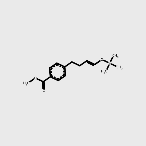 COC(=O)c1ccc(CCC=CO[Si](C)(C)C)cc1